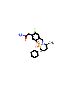 C[C@H]1CC[C@H](c2ccccc2)S(=O)(=O)N1Cc1cc(F)c(CC(N)=O)cc1F